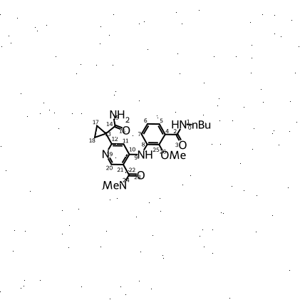 CCCCNC(=O)c1cccc(Nc2cc(C3(C(N)=O)CC3)ncc2C(=O)NC)c1OC